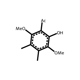 COc1c(C)c(C)c(OC)c(C(C)=O)c1O